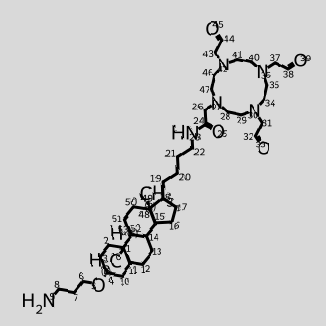 CC12CC[C@@H](OCCCN)CC1CCC1C3CCC(CCCCNC(=O)CN4CCN(CC=O)CCN(CC=O)CCN(CC=O)CC4)[C@@]3(C)CC[C@@H]12